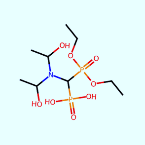 CCOP(=O)(OCC)C(N(C(C)O)C(C)O)P(=O)(O)O